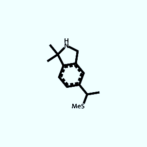 CSC(C)c1ccc2c(c1)CNC2(C)C